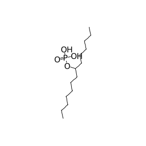 CCCCCCCC(CCCCCC)OP(=O)(O)O